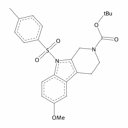 COc1ccc2c(c1)c1c(n2S(=O)(=O)c2ccc(C)cc2)CN(C(=O)OC(C)(C)C)CC1